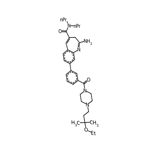 CCCN(CCC)C(=O)C1=Cc2ccc(-c3cccc(C(=O)N4CCN(CCC(C)(C)OCC)CC4)c3)cc2N=C(N)C1